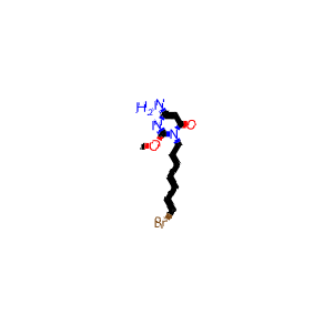 COc1nc(N)cc(=O)n1CCCCCCCBr